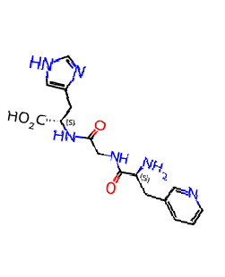 N[C@@H](Cc1cccnc1)C(=O)NCC(=O)N[C@@H](Cc1c[nH]cn1)C(=O)O